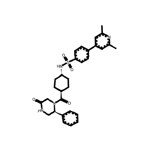 Cc1cc(-c2ccc(S(=O)(=O)N[C@H]3CC[C@H](C(=O)N4CC(=O)NC[C@@H]4c4ccccc4)CC3)cc2)cc(C)n1